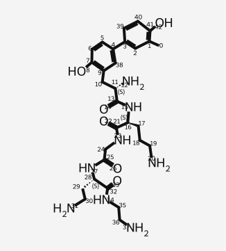 Cc1cc(-c2ccc(O)c(C[C@H](N)C(=O)N[C@@H](CCCN)C(=O)NCC(=O)N[C@@H](CCN)C(=O)NCCN)c2)ccc1O